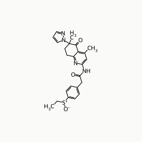 CC[S+]([O-])c1ccc(CC(=O)Nc2cc(C)c3c(n2)CCC(C)(n2cccn2)C3=O)cc1